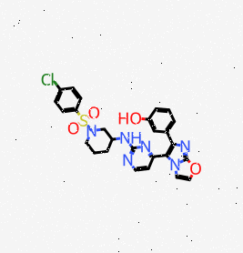 O=S(=O)(c1ccc(Cl)cc1)N1CCCC(Nc2nccc(-c3c(-c4cccc(O)c4)nc4occn34)n2)C1